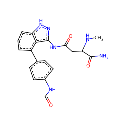 CNC(CC(=O)Nc1n[nH]c2cccc(-c3ccc(NC=O)cc3)c12)C(N)=O